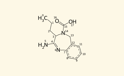 CCCC1C(N)=Nc2ccccc2CN1C(=O)O